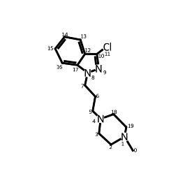 CN1CCN(CCCn2nc(Cl)c3ccccc32)CC1